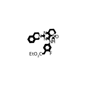 CCOC(=O)Cc1ccc(Nc2nc(N3CCc4ccccc4C3)nc3c2S(=O)(=O)CCC3)cc1F